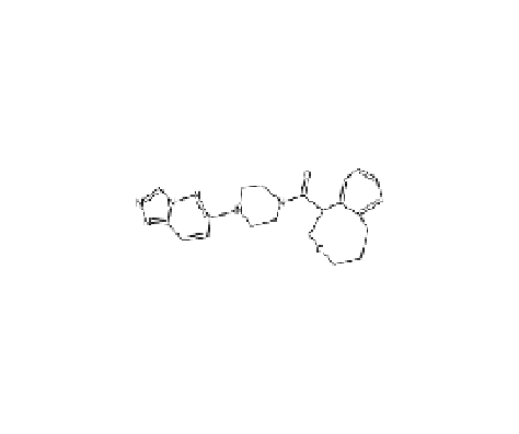 O=C(C1CCCCCc2ccccc21)N1CCN(c2ccc3nncn3n2)CC1